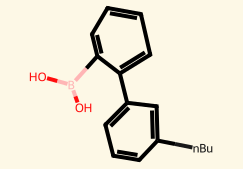 CCCCc1cccc(-c2ccccc2B(O)O)c1